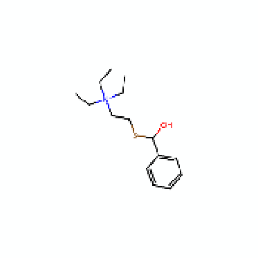 CC[N+](CC)(CC)CCSC(O)c1ccccc1